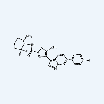 Cc1sc(C(=O)N[C@@H]2[C@H](N)CCCC2(F)F)cc1-c1cnn2cc(-c3ccc(F)cc3)ccc12